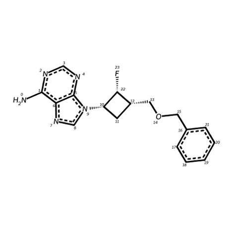 Nc1ncnc2c1ncn2[C@H]1C[C@@H](COCc2ccccc2)[C@H]1F